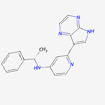 C[C@H](Nc1ccnc(-c2c[nH]c3nccnc23)c1)c1ccccc1